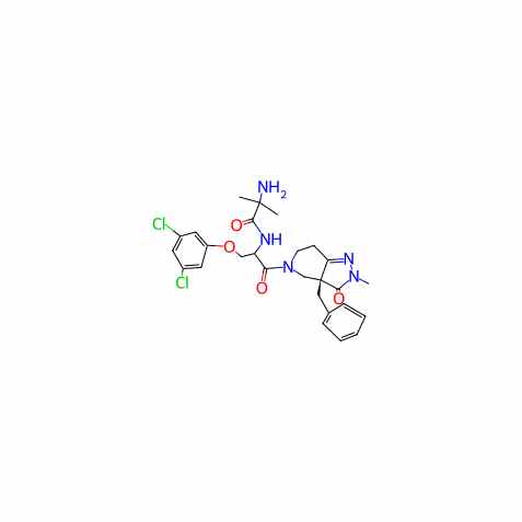 CN1N=C2CCN(C(=O)C(COc3cc(Cl)cc(Cl)c3)NC(=O)C(C)(C)N)C[C@@]2(Cc2ccccc2)C1=O